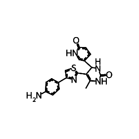 CC1=C(c2nc(-c3ccc(N)cc3)cs2)C(c2ccc(=O)[nH]c2)NC(=O)N1